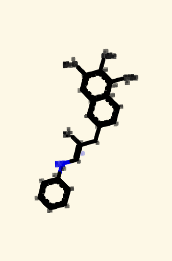 COc1cc2cc(C/C(C#N)=C/Nc3ccccc3)ccc2c(OC)c1OC